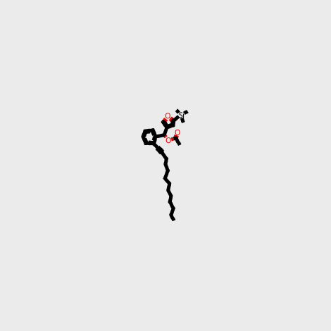 CCCCCCCCCCCC#Cc1ccccc1C(OC(C)=O)c1coc([Si](C)(C)C)c1